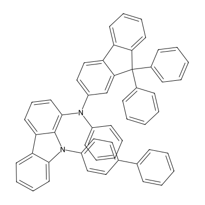 c1ccc(-c2ccc(-n3c4ccccc4c4cccc(N(c5ccccc5)c5ccc6c(c5)C(c5ccccc5)(c5ccccc5)c5ccccc5-6)c43)cc2)cc1